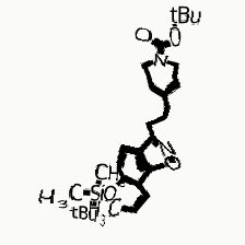 C/C=C\c1c(O[Si](C)(C)C(C)(C)C)ccc2c(CCC3CCN(C(=O)OC(C)(C)C)CC3)noc12